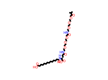 CC(C)C(=O)COCCOCCOCCNC(=O)COCCOCCOCCNC(=O)CC[C@H](NC(=O)CCCCCCCCCCCCC(=O)O)C(=O)O